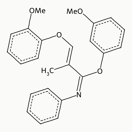 COc1cccc(O/C(=N/c2ccccc2)C(C)=COc2ccccc2OC)c1